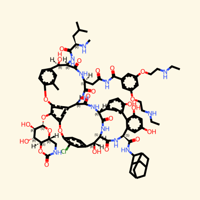 CCNCCOc1cc(OCCNCC)cc(C(=O)NC(=O)C[C@@H]2NC(=O)[C@H](NC(=O)[C@@H](CC(C)C)NC)[C@H](O)c3ccc(c(C)c3)Oc3cc4cc(c3O[C@@H]3O[C@@H]5CNC(=O)O[C@H]5[C@H](O)[C@H]3O)Oc3ccc(cc3Cl)[C@@H](O)[C@@H]3NC(=O)[C@H](NC(=O)[C@@H]4NC2=O)c2ccc(O)c(c2)-c2c(O)cc(O)cc2[C@@H](C(=O)NC2C4CC5CC(C4)CC2C5)NC3=O)c1